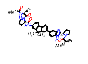 CN[C@H](C(=O)N1CCC[C@H]1c1nc2cc(-c3ccc4c(c3)C(C)(C)c3cc(NC(=O)[C@@H]5CCCN5C(=O)[C@@H](NC(=O)OC)C(C)C)ccc3-4)ccc2[nH]1)C(C)C